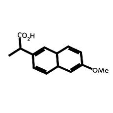 COC1=CC2C=CC(C(C)C(=O)O)=CC2C=C1